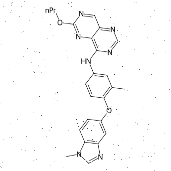 CCCOc1ncc2ncnc(Nc3ccc(Oc4ccc5c(c4)ncn5C)c(C)c3)c2n1